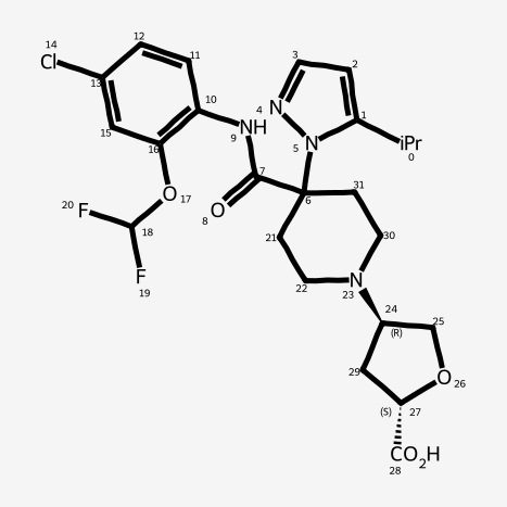 CC(C)c1ccnn1C1(C(=O)Nc2ccc(Cl)cc2OC(F)F)CCN([C@H]2CO[C@H](C(=O)O)C2)CC1